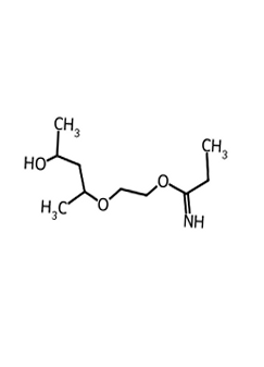 CCC(=N)OCCOC(C)CC(C)O